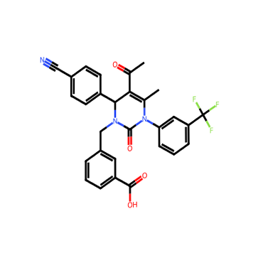 CC(=O)C1=C(C)N(c2cccc(C(F)(F)F)c2)C(=O)N(Cc2cccc(C(=O)O)c2)C1c1ccc(C#N)cc1